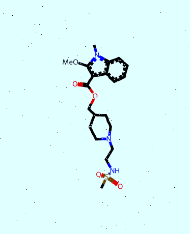 COc1c(C(=O)OCC2CCN(CCNS(C)(=O)=O)CC2)c2ccccc2n1C